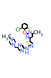 Cc1cc(-c2cnc(Nc3cnc(CN4CCN(C)CC4)cn3)s2)nc(Oc2c(F)cccc2Cl)n1